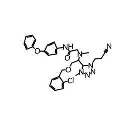 CN(CC(=O)Nc1ccc(Oc2ccccc2)cc1)C(COCc1ccccc1Cl)C1N(C)N=NN1CCC#N